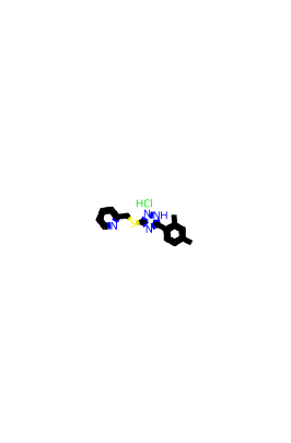 Cc1ccc(-c2nc(SCc3ccccn3)n[nH]2)c(C)c1.Cl